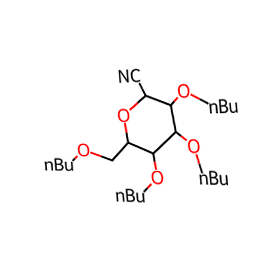 CCCCOCC1OC(C#N)C(OCCCC)C(OCCCC)C1OCCCC